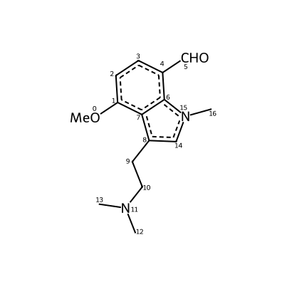 COc1ccc(C=O)c2c1c(CCN(C)C)cn2C